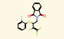 O=C1c2ccccc2C(=O)N1CC(Sc1ccccc1F)C(F)=C(F)F